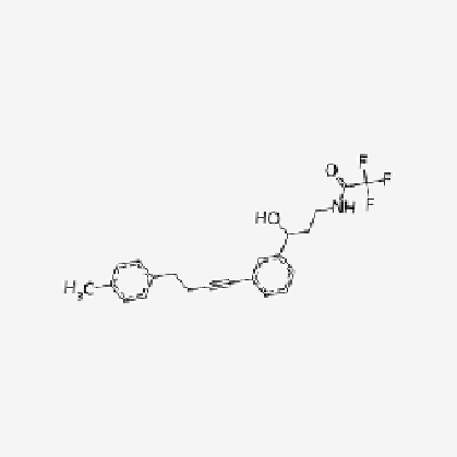 Cc1ccc(CCC#Cc2cccc(C(O)CCNC(=O)C(F)(F)F)c2)cc1